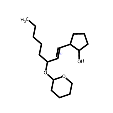 CCCCCC(/C=C/C1CCCC1O)OC1CCCCO1